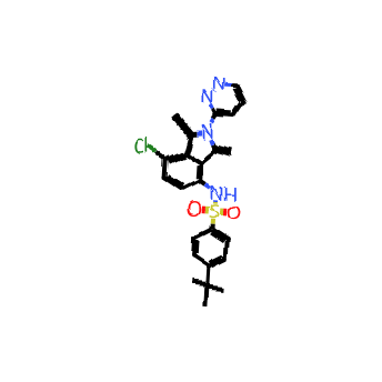 C=c1c2c(Cl)ccc(NS(=O)(=O)c3ccc(C(C)(C)C)cc3)c2c(=C)n1-c1cccnn1